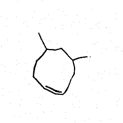 [CH2]C1C/C=C\CCC(C)C1